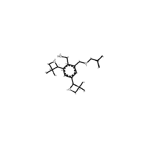 CC(C)COCc1cc(C2OCC2(C)C)cc(C2OCC2(C)C)c1CO